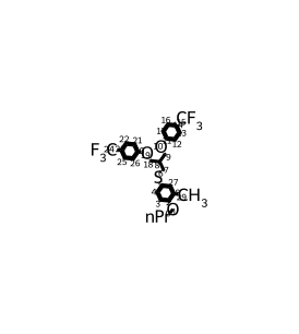 CCCOc1ccc(SCC(COc2ccc(C(F)(F)F)cc2)COc2ccc(C(F)(F)F)cc2)cc1C